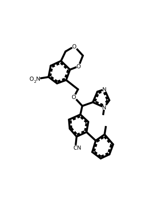 Cc1ccccc1-c1cc(C(OCc2cc([N+](=O)[O-])cc3c2OCOC3)c2cncn2C)ccc1C#N